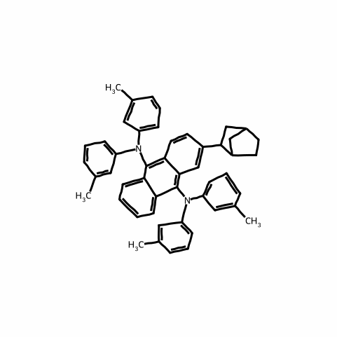 Cc1cccc(N(c2cccc(C)c2)c2c3ccccc3c(N(c3cccc(C)c3)c3cccc(C)c3)c3cc(C4CC5CCC4C5)ccc23)c1